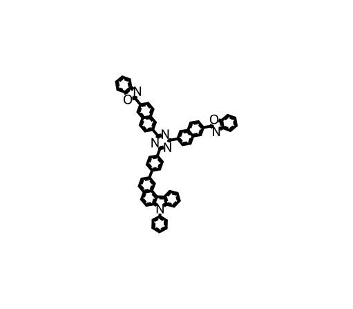 c1ccc(-n2c3ccccc3c3c4cc(-c5ccc(-c6nc(-c7ccc8cc(-c9nc%10ccccc%10o9)ccc8c7)nc(-c7ccc8cc(-c9nc%10ccccc%10o9)ccc8c7)n6)cc5)ccc4ccc32)cc1